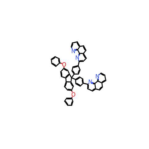 c1ccc(Oc2ccc3c(c2)C(c2ccc(-c4ccc5ccc6cccnc6c5n4)cc2)(c2ccc(-c4ccc5ccc6cccnc6c5n4)cc2)c2cc(Oc4ccccc4)ccc2-3)cc1